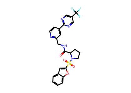 O=C(NCc1cc(-c2ncc(C(F)(F)F)cn2)ccn1)C1CCCN1S(=O)(=O)c1cc2ccccc2o1